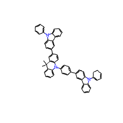 CC1(C)c2ccccc2N(c2ccc(-c3ccc4c(c3)c3ccccc3n4C3=CC=CCC3)cc2)c2ccc(-c3ccc4c(c3)c3ccccc3n4-c3ccccc3)cc21